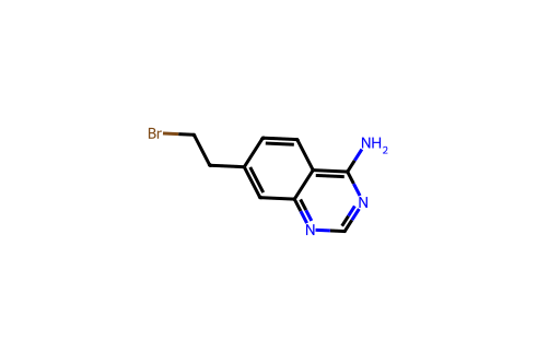 Nc1ncnc2cc(CCBr)ccc12